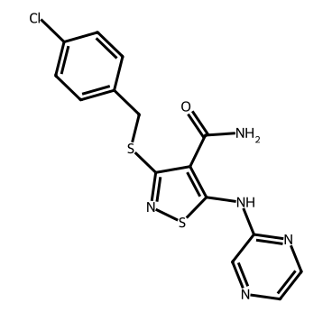 NC(=O)c1c(SCc2ccc(Cl)cc2)nsc1Nc1cnccn1